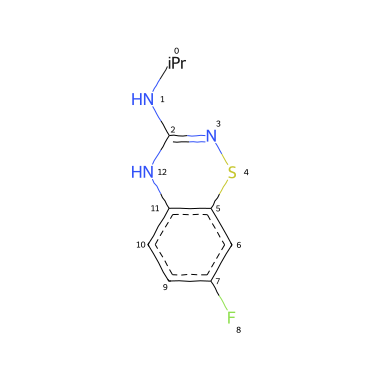 CC(C)NC1=NSc2cc(F)ccc2N1